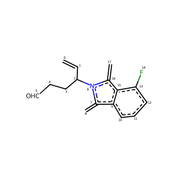 C=CC(CCC=O)n1c(=C)c2cccc(F)c2c1=C